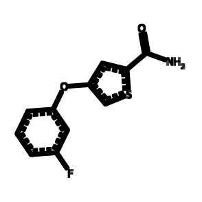 NC(=O)c1cc(Oc2cccc(F)c2)cs1